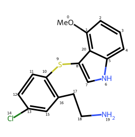 COc1cccc2[nH]cc(Sc3ccc(Cl)cc3CCN)c12